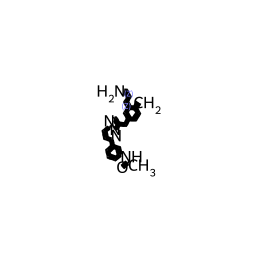 C=c1ccc(Cc2cnc3ccc(-c4cccc(NC(C)=O)c4)nn23)c/c1=C/C=C\N